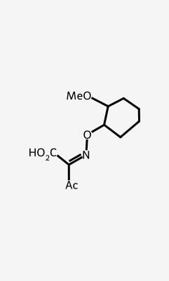 COC1CCCCC1ON=C(C(C)=O)C(=O)O